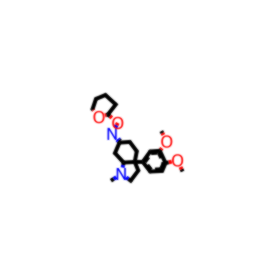 COc1ccc(C23CCC(=NOC4CCCCO4)CC2N(C)CC3)cc1OC